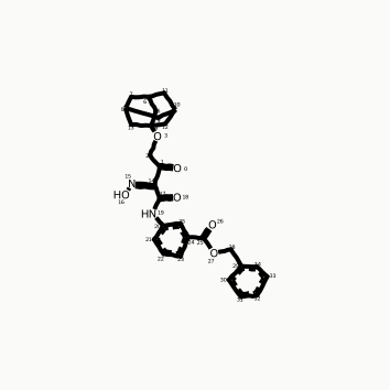 O=C(COC12CC3CC(CC(C3)C1)C2)C(=NO)C(=O)Nc1cccc(C(=O)OCc2ccccc2)c1